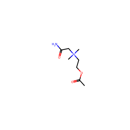 CC(=O)OCC[N+](C)(C)CC(N)=O